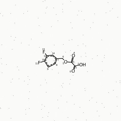 O=C(O)C(=O)OCc1ccc(F)c(F)c1